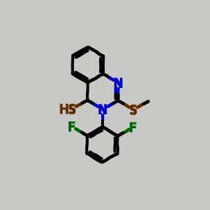 CSC1=Nc2ccccc2C(S)N1c1c(F)cccc1F